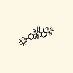 Cc1cc(B2OC(C)(C)C(C)(C)O2)ccc1S(=O)(=O)Nc1c(Br)ccc(S(=O)(=O)N(C)C)c1C